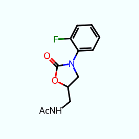 CC(=O)NCC1CN(c2ccccc2F)C(=O)O1